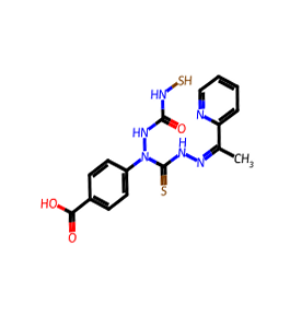 CC(=NNC(=S)N(NC(=O)NS)c1ccc(C(=O)O)cc1)c1ccccn1